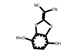 COc1ccc(O)c2c1SC(=C(C#N)C#N)S2